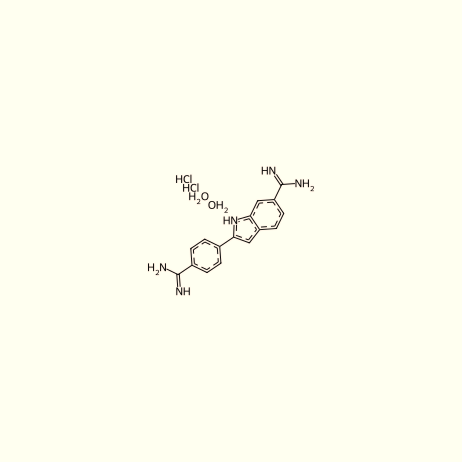 Cl.Cl.N=C(N)c1ccc(-c2cc3ccc(C(=N)N)cc3[nH]2)cc1.O.O